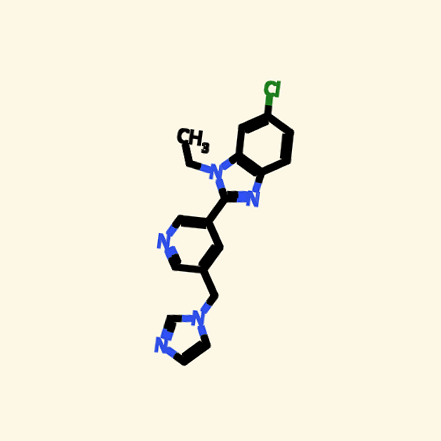 CCn1c(-c2cncc(Cn3ccnc3)c2)nc2ccc(Cl)cc21